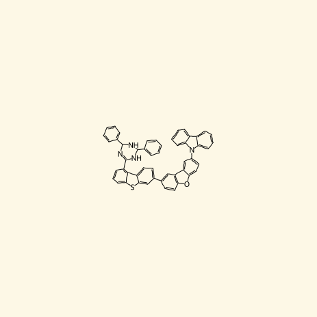 c1ccc(C2N=C(c3cccc4sc5cc(-c6ccc7oc8ccc(-n9c%10ccccc%10c%10ccccc%109)cc8c7c6)ccc5c34)NC(c3ccccc3)N2)cc1